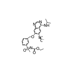 [C-]#[N+]c1cc2c(NC(C)C)ncnc2cc1OCc1cccc(S(C)(=O)=NC(=O)OCC)c1